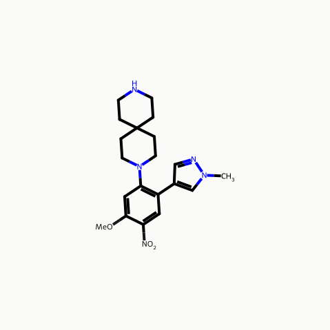 COc1cc(N2CCC3(CCNCC3)CC2)c(-c2cnn(C)c2)cc1[N+](=O)[O-]